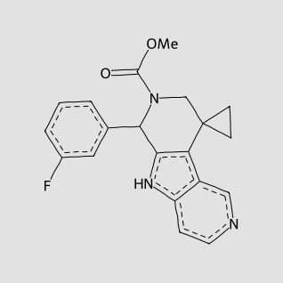 COC(=O)N1CC2(CC2)c2c([nH]c3ccncc23)C1c1cccc(F)c1